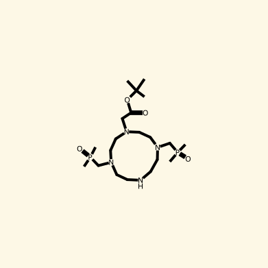 CC(C)(C)OC(=O)CN1CCN(CP(C)(C)=O)CCNCCN(CP(C)(C)=O)CC1